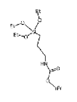 CCCOC(=O)NCCC[Si](OCC)(OCC)OCC